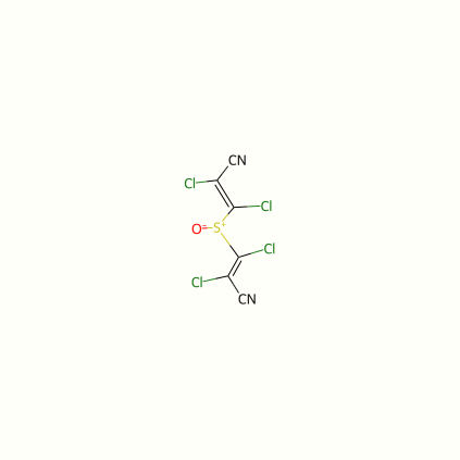 N#CC(Cl)=C(Cl)[S+]([O-])C(Cl)=C(Cl)C#N